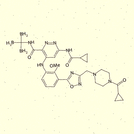 BC(B)(B)NC(=O)c1nnc(NC(=O)C2CC2)cc1Nc1cccc(-c2nc(CN3CCN(C(=O)C4CC4)CC3)no2)c1OC